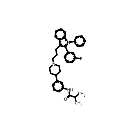 CC(C)C(=O)Nc1cccc(C2CCN(CCCc3c(-c4cccc(F)c4)n(-c4ccccc4)c4ccccc34)CC2)c1